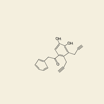 C#CCc1c(C(=O)Cc2ccccc2)cc(O)c(O)c1CC#C